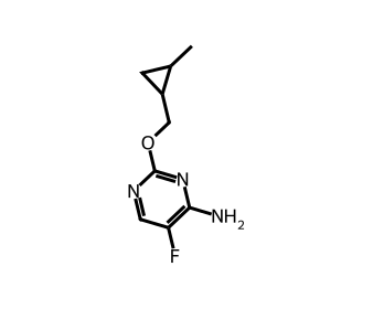 CC1CC1COc1ncc(F)c(N)n1